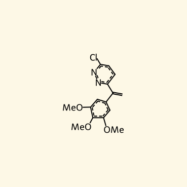 C=C(c1cc(OC)c(OC)c(OC)c1)c1ccc(Cl)nn1